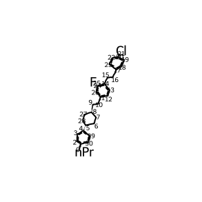 CCCc1ccc([C@H]2CC[C@H](CCc3ccc(CCc4ccc(Cl)cc4)c(F)c3)CC2)cc1